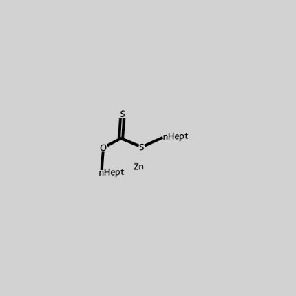 CCCCCCCOC(=S)SCCCCCCC.[Zn]